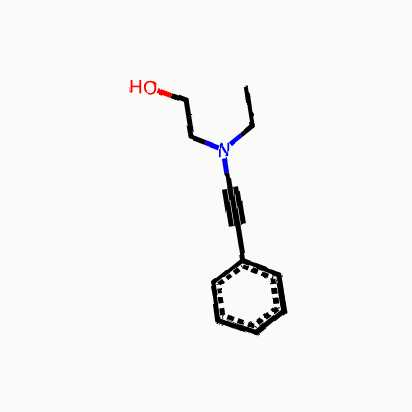 CCN(C#Cc1ccccc1)CCO